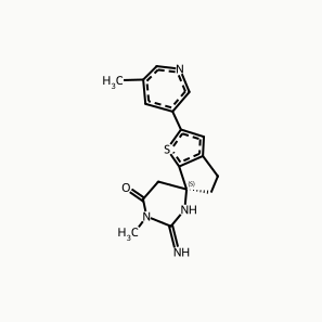 Cc1cncc(-c2cc3c(s2)[C@]2(CC3)CC(=O)N(C)C(=N)N2)c1